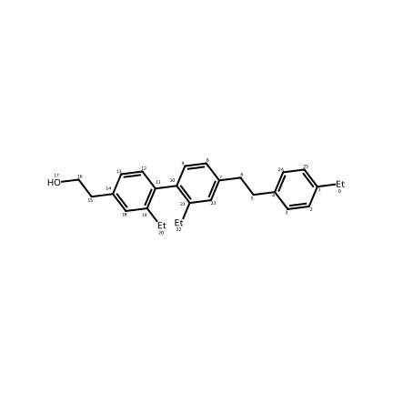 CCc1ccc(CCc2ccc(-c3ccc(CCO)cc3CC)c(CC)c2)cc1